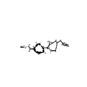 CCCCCCCCCCCC1COB(c2ccc(OC[C@@H](C)CC)cc2)OC1